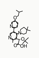 Cc1ncc(-c2ccc(OCC(C)C)cn2)c(N2CCC(C)(C)CC2)c1[C@H](OC(C)(C)C)C(=O)O